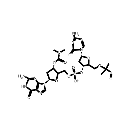 CN(C)C(=O)O[C@H]1C[C@H](n2cnc3c(=O)[nH]c(N)nc32)OC1COP(=O)(O)O[C@@H]1C[C@H](n2cnc(N)nc2=O)OC1COC(C)(C)N=O